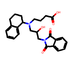 O=C(O)CCCN(CC(O)CN1C(=O)c2ccccc2C1=O)C1CCCc2ccccc21